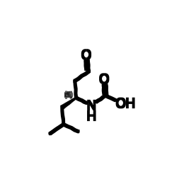 CC(C)C[C@@H](CC=O)NC(=O)O